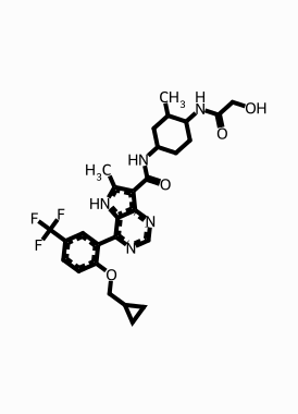 Cc1[nH]c2c(-c3cc(C(F)(F)F)ccc3OCC3CC3)ncnc2c1C(=O)NC1CCC(NC(=O)CO)C(C)C1